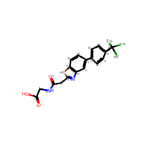 O=C(O)CNC(=O)Cc1nc2cc(-c3ccc(C(F)(F)F)cc3)ccc2s1